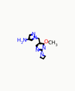 COc1nc(N2CCC2)ncc1Cn1cc(N)cn1